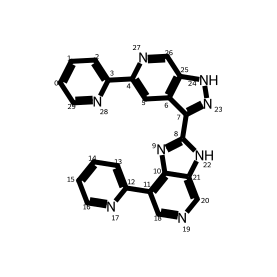 c1ccc(-c2cc3c(-c4nc5c(-c6ccccn6)cncc5[nH]4)n[nH]c3cn2)nc1